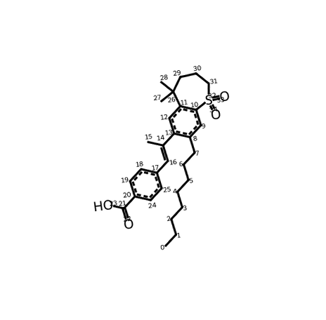 CCCCCCCCc1cc2c(cc1C(C)=Cc1ccc(C(=O)O)cc1)C(C)(C)CCCS2(=O)=O